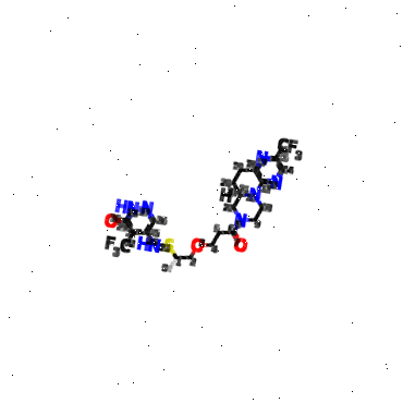 C[C@@H](COCCC(=O)N1CCN2c3ncc(C(F)(F)F)nc3CC[C@@H]2C1)SNc1cn[nH]c(=O)c1C(F)(F)F